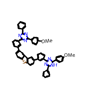 COc1ccc(-c2nc(-c3ccccc3)nc(-c3cccc(-c4ccc5sc6ccc(-c7cccc(C8=NC(c9ccc(OC)cc9)NC(c9ccccc9)=N8)c7)cc6c5c4)c3)n2)cc1